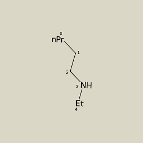 [CH2]CCCCNCC